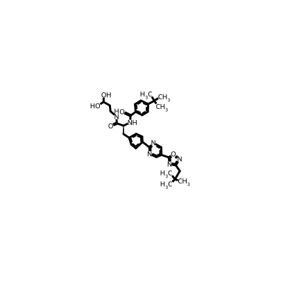 CC(C)(C)Cc1noc(-c2cnc(-c3ccc(C[C@H](NC(=O)c4ccc(C(C)(C)C)cc4)C(=O)NCCC(O)O)cc3)nc2)n1